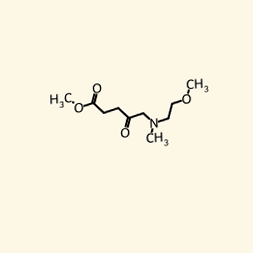 COCCN(C)CC(=O)CCC(=O)OC